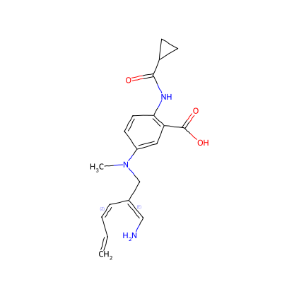 C=C/C=C\C(=C/N)CN(C)c1ccc(NC(=O)C2CC2)c(C(=O)O)c1